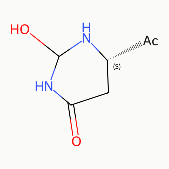 CC(=O)[C@@H]1CC(=O)NC(O)N1